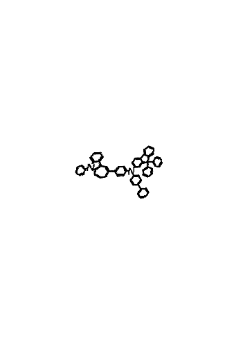 C1=Cc2c(c3ccccc3n2-c2ccccc2)C=C(c2ccc(N(c3ccc(-c4ccccc4)cc3)c3ccc4c(c3)C(c3ccccc3)(c3ccccc3)c3ccccc3-4)cc2)C1